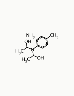 Cc1ccc(N(C(C)O)C(C)O)cc1.N